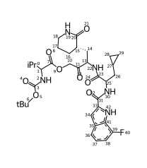 CC(C)C(NC(=O)OC(C)(C)C)C(=O)OCC(=O)C(C[C@@H]1CCCNC1=O)NC(=O)C(CC1CC1)NC(=O)c1cc2cccc(F)c2[nH]1